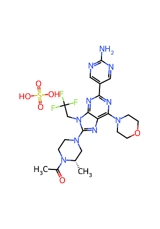 CC(=O)N1CCN(c2nc3c(N4CCOCC4)nc(-c4cnc(N)nc4)nc3n2CC(F)(F)F)C[C@@H]1C.O=S(=O)(O)O